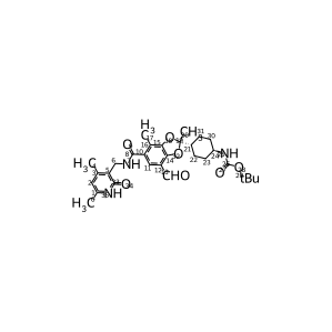 Cc1cc(C)c(CNC(=O)c2cc(C=O)c3c(c2C)OC(C)([C@H]2CC[C@H](NC(=O)OC(C)(C)C)CC2)O3)c(=O)[nH]1